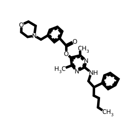 CCCCC(CNc1nc(C)c(OC(=O)c2cccc(CN3CCOCC3)c2)c(C)n1)c1ccccc1